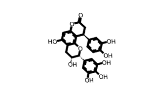 O=C1C[C@@H](c2ccc(O)c(O)c2)c2c(cc(O)c3c2O[C@H](c2cc(O)c(O)c(O)c2)[C@H](O)C3)O1